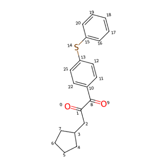 O=C(CC1CCCC1)C(=O)c1ccc(Sc2ccccc2)cc1